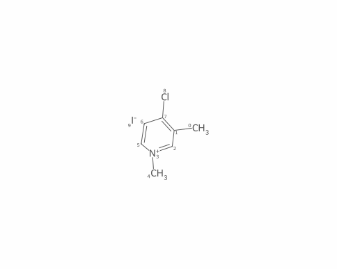 Cc1c[n+](C)ccc1Cl.[I-]